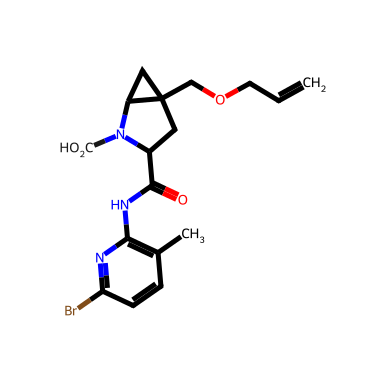 C=CCOCC12CC(C(=O)Nc3nc(Br)ccc3C)N(C(=O)O)C1C2